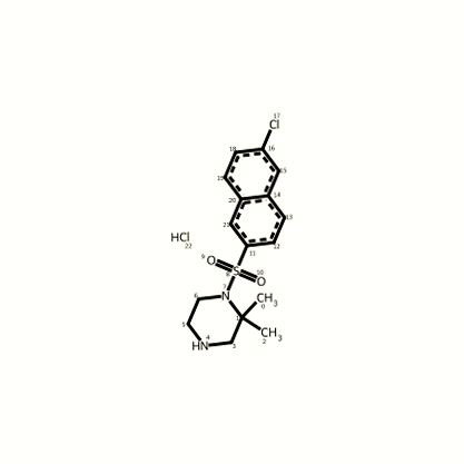 CC1(C)CNCCN1S(=O)(=O)c1ccc2cc(Cl)ccc2c1.Cl